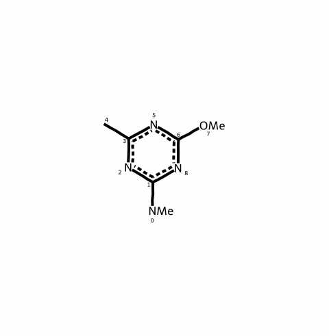 CNc1nc(C)nc(OC)n1